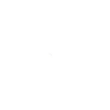 C=CCC1COS(=O)N1P(=O)(F)F